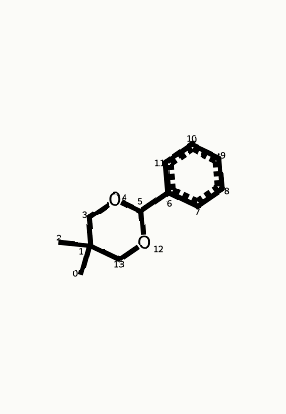 CC1(C)COC(c2cc[c]cc2)OC1